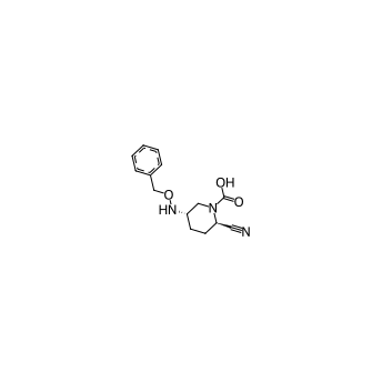 N#C[C@H]1CC[C@H](NOCc2ccccc2)CN1C(=O)O